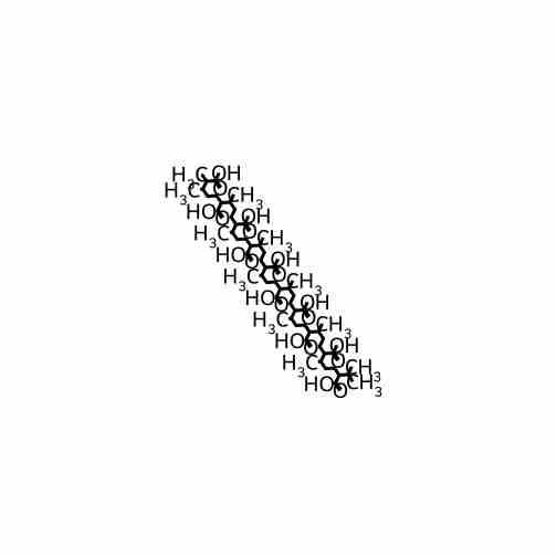 CC(C)C(CCC(C)C(CCC(C)C(CCC(C)C(CCC(C)C(CCC(C)C(CCC(C)C(CCC(C)C(CCC(C)C(CCC(C)C(C)C(=O)O)C(=O)O)C(=O)O)C(=O)O)C(=O)O)C(=O)O)C(=O)O)C(=O)O)C(=O)O)C(=O)O